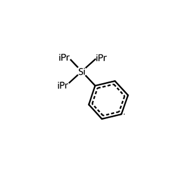 CC(C)[Si](c1cc[c]cc1)(C(C)C)C(C)C